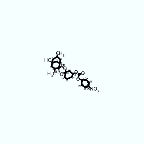 CC1CC2CC(O)(C1)CC(C)C21OOC2(CCCC(OC(=O)Oc3ccc([N+](=O)[O-])cc3)C2)OO1